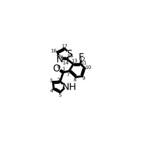 O=C(c1ccc[nH]1)c1cccc(F)c1-c1nccs1